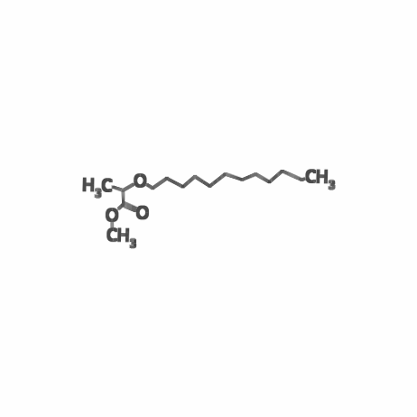 CCCCCCCCCCCCOC(C)C(=O)OC